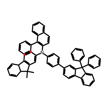 CC1(C)c2cc(N(c3ccc(-c4ccc5c(c4)C(c4ccccc4)(c4ccccc4)c4ccccc4-5)cc3)c3ccc4ccccc4c3-c3ccccc3)ccc2C2C=CC=CC21